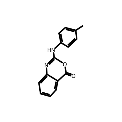 Cc1ccc(Nc2nc3ccccc3c(=O)o2)cc1